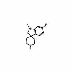 CN1CC2(CCNCC2)c2ccc(F)cc21